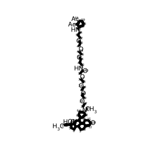 CC#CC1(O)CCC2C3CCC4=CC(=O)CCC4=C3C(c3ccc(N(C)CCOCCOCCOCCOCC(=O)NCCCOCCOCCOCCCNc4cccc(C(C)=O)c4C(C)=O)cc3)CC21C